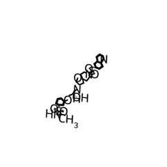 CNS(=O)(=O)c1cccc(OC[C@@H](O)CNC2COC3(CCN(S(=O)(=O)c4ccc5ncccc5c4)CC3)C2)c1